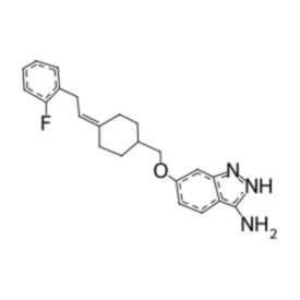 Nc1[nH]nc2cc(OCC3CCC(=CCc4ccccc4F)CC3)ccc12